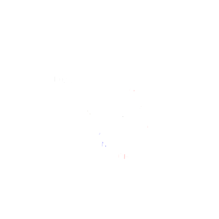 CCOC(=O)CS/C(=N/O)C(C)(C)S(C)(=O)=O